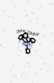 COc1ccc(C2(c3ccccc3F)N=C(c3ccccc3F)N=C2c2ccccc2F)cc1OC